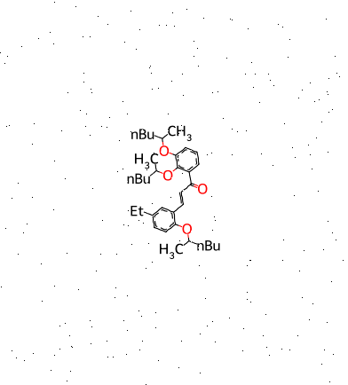 CCCCC(C)Oc1ccc(CC)cc1C=CC(=O)c1cccc(OC(C)CCCC)c1OC(C)CCCC